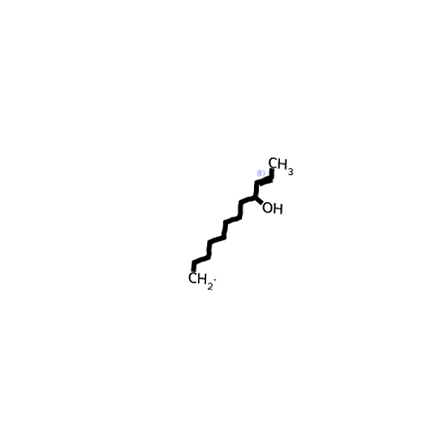 [CH2]CCCCCCCC(O)/C=C/C